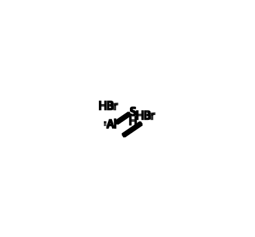 Br.Br.CC.[Al][SH]